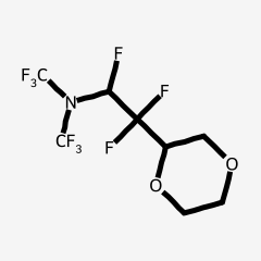 FC(N(C(F)(F)F)C(F)(F)F)C(F)(F)C1COCCO1